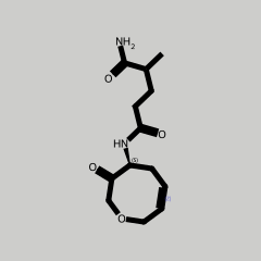 CC(C[CH]C(=O)N[C@H]1C/C=C\COCC1=O)C(N)=O